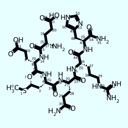 CSCC[C@H](NC(=O)[C@H](CCC(=O)O)NC(=O)[C@@H](N)CCC(=O)O)C(=O)N[C@@H](CCC(N)=O)C(=O)N[C@@H](CCCNC(=N)N)C(=O)N[C@@H](Cc1c[nH]cn1)C(N)=O